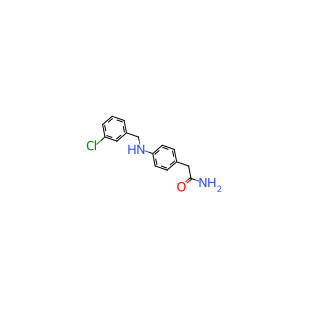 NC(=O)Cc1ccc(NCc2cccc(Cl)c2)cc1